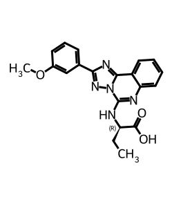 CC[C@@H](Nc1nc2ccccc2c2nc(-c3cccc(OC)c3)nn12)C(=O)O